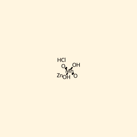 Cl.[O]=[Mn](=[O])([OH])[OH].[Zn]